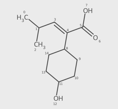 CC(C)/C=C(/C(=O)O)C1CCC(O)CC1